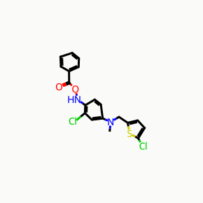 CN(Cc1ccc(Cl)s1)c1ccc(NOC(=O)c2ccccc2)c(Cl)c1